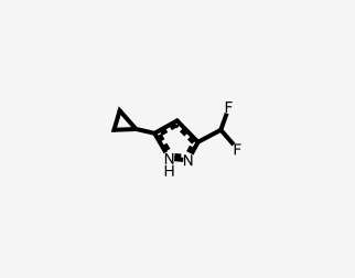 FC(F)c1cc(C2CC2)[nH]n1